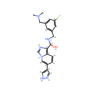 CN(C)Cc1cc(F)cc(CNC(O)c2ncn3cc(-c4cn[nH]c4)ccc23)c1